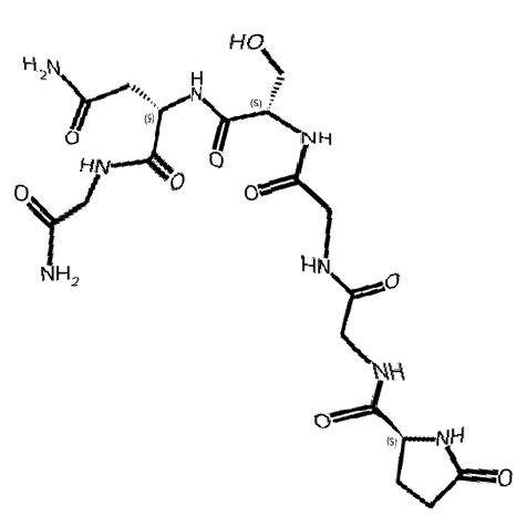 NC(=O)CNC(=O)[C@H](CC(N)=O)NC(=O)[C@H](CO)NC(=O)CNC(=O)CNC(=O)[C@@H]1CCC(=O)N1